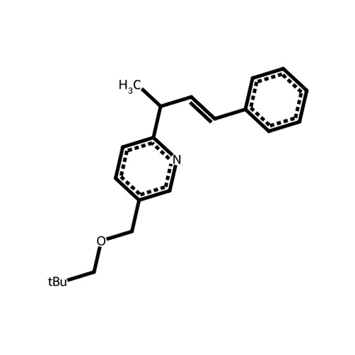 CC(/C=C/c1ccccc1)c1ccc(COCC(C)(C)C)cn1